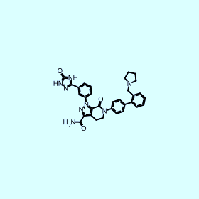 NC(=O)c1nn(-c2cccc(-c3n[nH]c(=O)[nH]3)c2)c2c1CCN(c1ccc(-c3ccccc3CN3CCCC3)cc1)C2=O